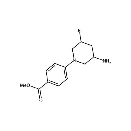 COC(=O)c1ccc(N2CC(N)CC(Br)C2)cc1